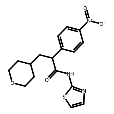 O=C(Nc1nccs1)C(CC1CCOCC1)c1ccc([N+](=O)[O-])cc1